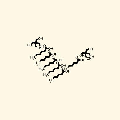 CCCCCC(=O)O.CCCCCC(=O)O.CCCCCC(=O)O.CCCCCC(=O)O.CCCCCC(=O)O.CCCCCC(=O)O.OCC(CO)(CO)CO.OCC(CO)(CO)CO